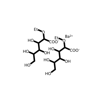 CCOC(C(=O)[O-])C(O)C(O)C(O)CO.CCOC(C(=O)[O-])C(O)C(O)C(O)CO.[Ba+2]